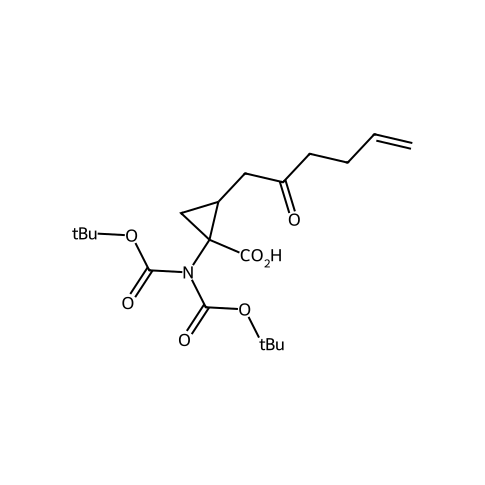 C=CCCC(=O)CC1CC1(C(=O)O)N(C(=O)OC(C)(C)C)C(=O)OC(C)(C)C